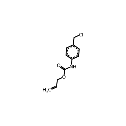 C=CCOC(=O)Nc1ccc(CCl)cc1